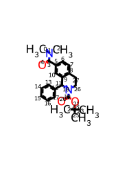 CN(C)C(=O)c1ccc2c(c1)C(c1ccccc1)N(C(=O)OC(C)(C)C)CC2